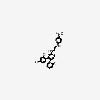 O=c1ccccn1-c1cnc(NCCNc2ccc([N+](=O)[O-])cn2)nc1-c1ccc(Cl)cc1Cl